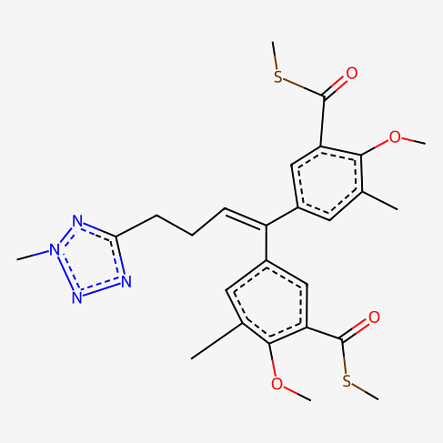 COc1c(C)cc(C(=CCCc2nnn(C)n2)c2cc(C)c(OC)c(C(=O)SC)c2)cc1C(=O)SC